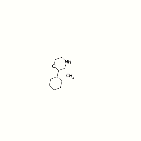 C.C1CCC(C2CNCCO2)CC1